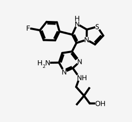 CC(C)(CO)CNc1nc(N)cc(C2=C(c3ccc(F)cc3)NC3SC=CN23)n1